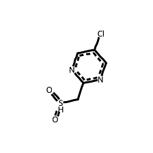 O=[SH](=O)Cc1ncc(Cl)cn1